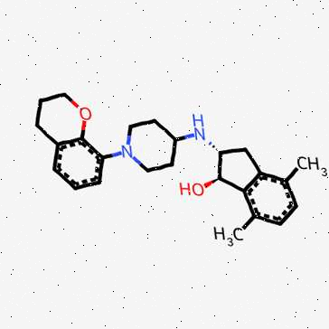 Cc1ccc(C)c2c1C[C@@H](NC1CCN(c3cccc4c3OCCC4)CC1)[C@@H]2O